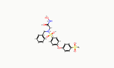 CS(=O)(=O)c1ccc(Oc2ccc(S(=O)(=O)N(CC(=O)NO)Cc3ccccc3)cc2)cc1